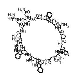 CCCC[C@H]1C(=O)N(C)[C@@H](C)C(=O)N[C@@H](CCCNC(=N)N)C(=O)N[C@H](C(=O)NCC(N)=O)CSCC(=O)N[C@@H](Cc2ccccc2)C(=O)N(C)[C@@H](C)C(=O)N[C@@H](CC(N)=O)C(=O)N2CCCC2C(=O)N[C@@H](Cc2cnc[nH]2)C(=O)N[C@@H](CC(C)C)C(=O)N(C)CC(=O)N[C@@H](Cc2c[nH]c3ccccc23)C(=O)N[C@@H](CO)C(=O)N[C@@H](Cc2c[nH]c3ccccc23)C(=O)N1C